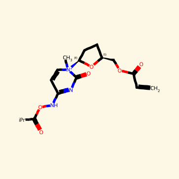 C=CC(=O)OC[C@@H]1CC[C@H]([N+]2(C)C=CC(NOC(=O)C(C)C)=NC2=O)O1